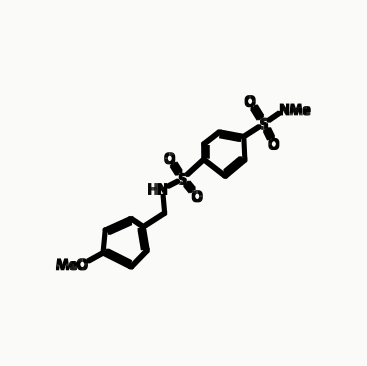 CNS(=O)(=O)c1ccc(S(=O)(=O)NCc2ccc(OC)cc2)cc1